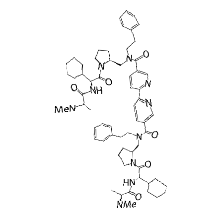 CNC(C)C(=O)N[C@H](C(=O)N1CCC[C@H]1CN(CCc1ccccc1)C(=O)c1ccc(-c2ccc(C(=O)N(CCc3ccccc3)C[C@@H]3CCCN3C(=O)[C@@H](NC(=O)[C@H](C)NC)C3CCCCC3)cn2)nc1)C1CCCCC1